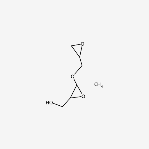 C.OCC1OC1OCC1CO1